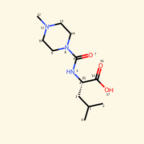 CC(C)C[C@H](NC(=O)N1CCN(C)CC1)C(=O)O